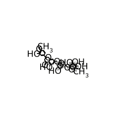 COc1ccc(C2CC(=O)c3c(O)cc(O[C@H]4C[C@@H](O)C[C@@H](CO[C@@H]5O[C@@H](C)[C@H](O)[C@@H](O)[C@H]5O)O4)cc3O2)cc1O